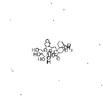 CC1(CC(OC2OC(CO)C(O)C(O)C2O)c2ccoc2)C(C(=O)O)CC2OC(=O)C3=CCCC1C32C